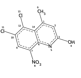 Cc1cc(O)nc2c([N+](=O)[O-])cc(Cl)c(Cl)c12